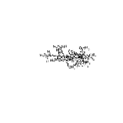 CCCC[C@H](NC(=O)[C@@H](NC(=O)[C@H](CC(=O)O)NC(=O)[C@H](CCC(N)=O)NC(=O)[C@H](CC(C)C)NC(=O)[C@@H](N)CC(C)C)[C@@H](C)CC)C(=O)N[C@H](CCCNC(=N)N)C(=O)N[C@@H](CCCCNC(=N)N)C(N)=O